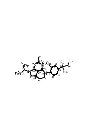 CCCC(CCC)N1C[C@H]2CCN(c3ccc(C(F)(F)CF)cc3C(F)(F)F)c3nc(C)nc1c32